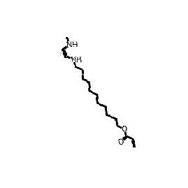 C=CC(=O)OCCCCCCCCCCCN/C=C\NC